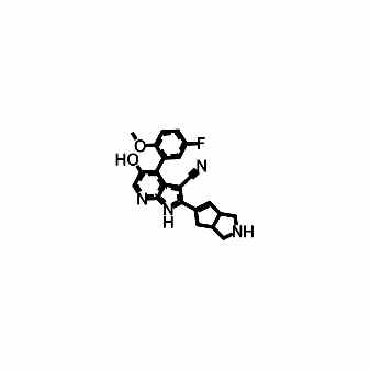 COc1ccc(F)cc1-c1c(O)cnc2[nH]c(C3=CC4CNCC4C3)c(C#N)c12